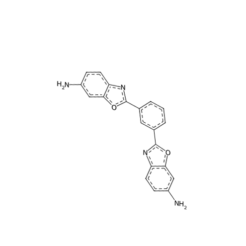 Nc1ccc2nc(-c3cccc(-c4nc5ccc(N)cc5o4)c3)oc2c1